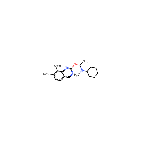 COc1ccc2cnc(OC(C)N(C)C3CCCCC3)nc2c1OC